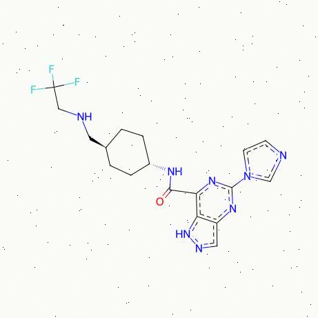 O=C(N[C@H]1CC[C@H](CNCC(F)(F)F)CC1)c1nc(-n2ccnc2)nc2cn[nH]c12